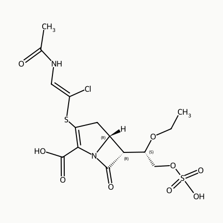 CCO[C@H](COS(=O)(=O)O)[C@@H]1C(=O)N2C(C(=O)O)=C(SC(Cl)=CNC(C)=O)C[C@H]12